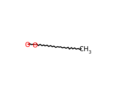 CCCCCCCCCCCCCCCCCCCCCCCCCCCOCCC=O